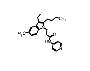 CCCCc1c(CI)c2cc(C)ccc2n1CCC(=O)Nc1ccncc1